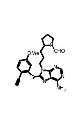 C#Cc1ccc(OC)cc1Sc1nc2c(N)ncnc2n1CCCC1CCCN1C=O